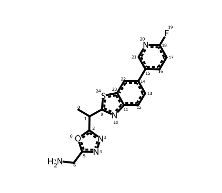 CC(c1nnc(CN)o1)c1nc2ccc(-c3ccc(F)nc3)cc2s1